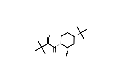 CC(C)(C)C(=O)N[C@@H]1CC[C@H](C(C)(C)C)C[C@@H]1F